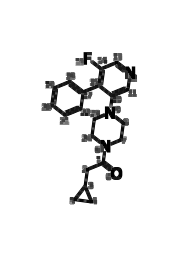 O=C(CC1CC1)N1CCN(c2cncc(F)c2-c2ccccc2)CC1